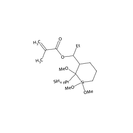 C=C(C)C(=O)OC(CC)C1CCC[Si](OC)(OC)C1(CCC)OC.[SiH4]